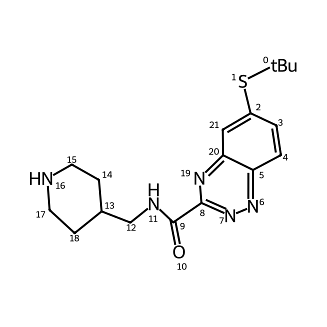 CC(C)(C)Sc1ccc2nnc(C(=O)NCC3CCNCC3)nc2c1